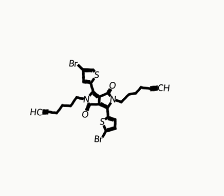 C#CCCCCN1C(=O)C2=C(c3ccc(Br)s3)N(CCCCC#C)C(=O)C2=C1c1cc(Br)cs1